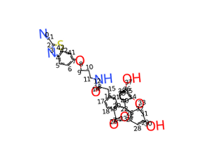 N#Cc1nc2ccc(OCCCNC(=O)Cc3ccc4c(c3)C3(OC4=O)C4=CC=C(O)CC4OC4=CC(O)=CCC43)cc2s1